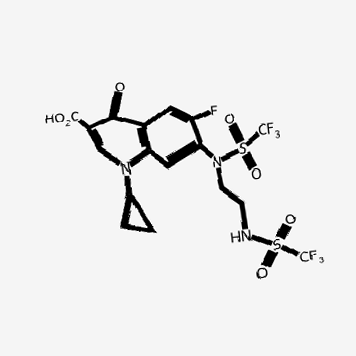 O=C(O)c1cn(C2CC2)c2cc(N(CCNS(=O)(=O)C(F)(F)F)S(=O)(=O)C(F)(F)F)c(F)cc2c1=O